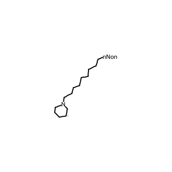 CCCCCCCCCCCCCCCCCCN1C[CH]CCC1